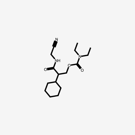 CCN(CC)C(=O)OCC(C(=O)NCC#N)C1CCCCC1